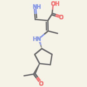 CC(=O)[C@@H]1CC[C@@H](N/C(C)=C(\C=N)C(=O)O)C1